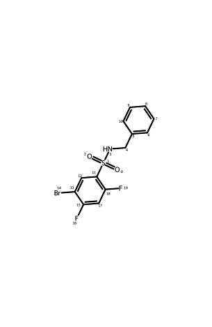 O=S(=O)(NCc1ccccc1)c1cc(Br)c(F)cc1F